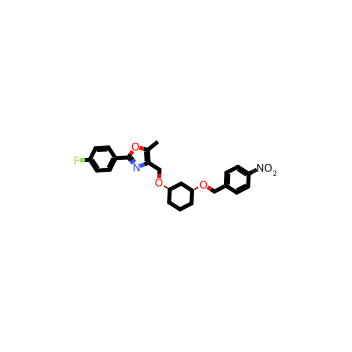 Cc1oc(-c2ccc(F)cc2)nc1CO[C@H]1CCC[C@@H](OCc2ccc([N+](=O)[O-])cc2)C1